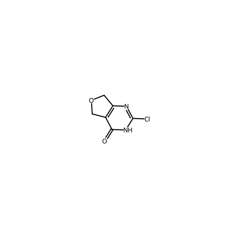 O=c1[nH]c(Cl)nc2c1COC2